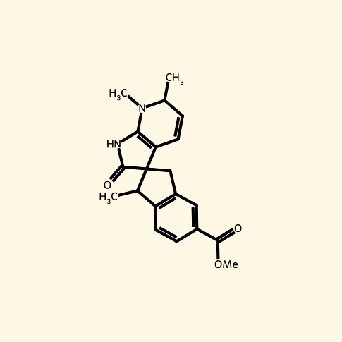 COC(=O)c1ccc2c(c1)CC1(C(=O)NC3=C1C=CC(C)N3C)C2C